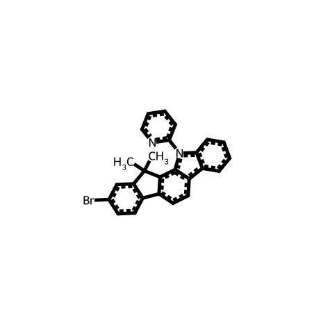 CC1(C)c2cc(Br)ccc2-c2ccc3c4ccccc4n(-c4ccccn4)c3c21